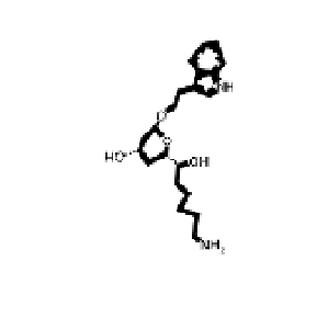 NCCCCCC(O)[C@@H]1C[C@H](O)C[C@@H](OCCc2c[nH]c3ccccc23)O1